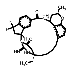 CC[C@]12CCCCc3ccc4c(c3)[C@H](C[C@@H](C)O4)NC(=O)c3ccc4c(c3)[C@@H](CC4(F)F)N(C(=N)N1)C(=O)C2